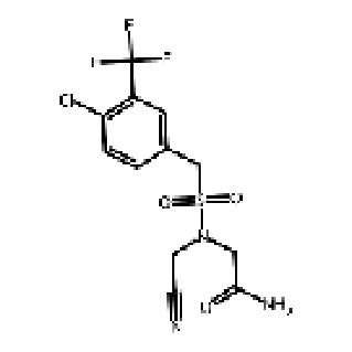 N#CCN(CC(N)=O)S(=O)(=O)Cc1ccc(Cl)c(C(F)(F)F)c1